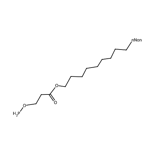 CCCCCCCCCCCCCCCCCCOC(=O)CCOP